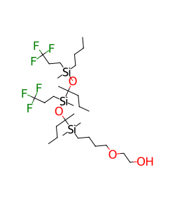 CCCC[Si](C)(CCC(F)(F)F)OC(C)(CCC)[Si](C)(CCC(F)(F)F)OC(C)(CCC)[Si](C)(C)CCCCOCCO